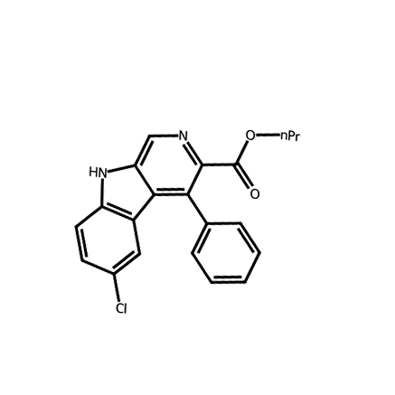 CCCOC(=O)c1ncc2[nH]c3ccc(Cl)cc3c2c1-c1ccccc1